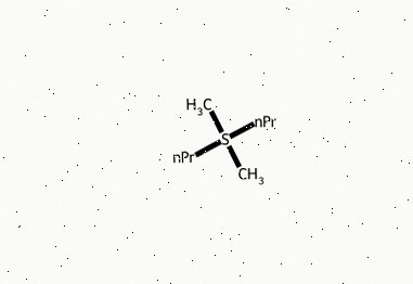 CCCS(C)(C)CCC